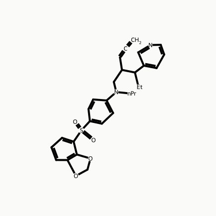 C=C=CC(CN(CCC)c1ccc(S(=O)(=O)c2cccc3c2OCO3)cc1)C(CC)c1cccnc1